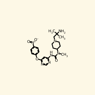 CN(C(=O)Nc1cc(Oc2ccc([N+](=O)[O-])cc2)ncn1)C1CCN(CC(C)(C)N)CC1